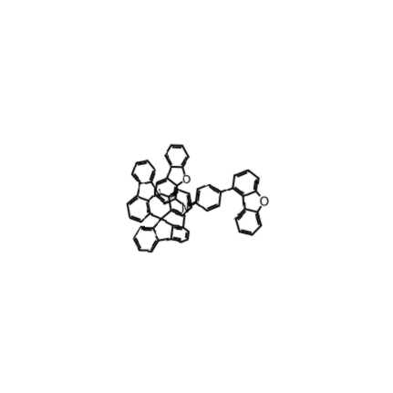 c1ccc2c(c1)-c1cccc(N(c3ccc(-c4cccc5oc6ccccc6c45)cc3)c3cccc4c3oc3ccccc34)c1C21c2ccccc2-n2c3ccccc3c3cccc1c32